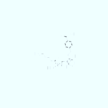 CCCCCC(=O)N(C)N=C[C@H]1[C@@H](CCc2ccc(C(=O)O)cc2)[C@H]2CC[C@@H]1O2